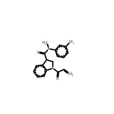 C=CC(=O)N1CC(C(=O)N(C)c2cccc(C(F)(F)F)c2)c2ccccc21